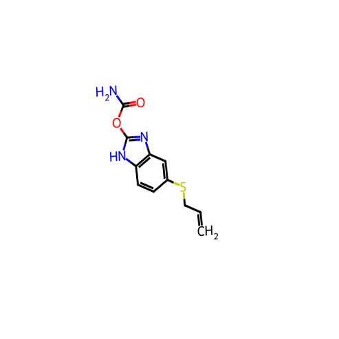 C=CCSc1ccc2[nH]c(OC(N)=O)nc2c1